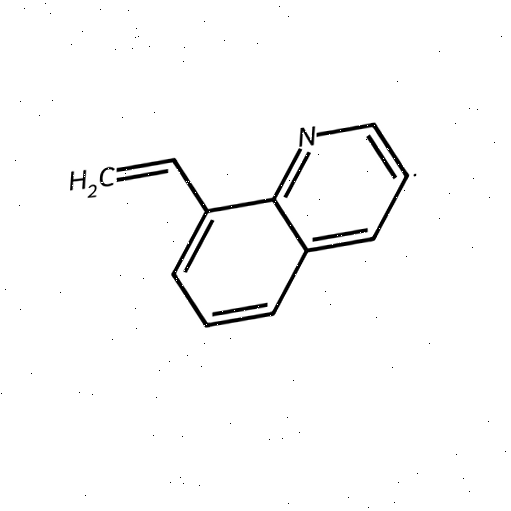 C=Cc1cccc2c[c]cnc12